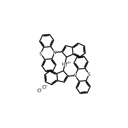 C1=C(N2c3ccccc3Sc3ccccc32)[CH]([Hf+2][CH]2C(N3c4ccccc4Sc4ccccc43)=Cc3ccccc32)c2ccccc21.[Cl-].[Cl-]